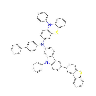 c1ccc(-c2ccc(N(c3ccc4c(c3)Sc3ccccc3N4c3ccccc3)c3ccc4c5cc(-c6ccc7sc8ccccc8c7c6)ccc5n(-c5ccccc5)c4c3)cc2)cc1